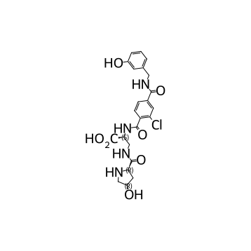 O=C(NCc1cccc(O)c1)c1ccc(C(=O)N[C@@H](CNC(=O)[C@H]2C[C@@H](O)CN2)C(=O)O)c(Cl)c1